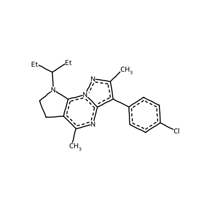 CCC(CC)N1CCc2c(C)nc3c(-c4ccc(Cl)cc4)c(C)nn3c21